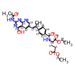 CCOC(=O)CC[C@H](NC(=O)c1ccc(/C(C)=C/c2cnc3nc(NC(C)=O)nc(O)c3c2)cc1)C(=O)OCC